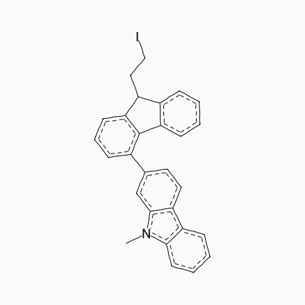 Cn1c2ccccc2c2ccc(-c3cccc4c3-c3ccccc3C4CCI)cc21